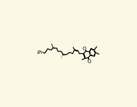 CC(=CCC1=C(C)C(=O)c2cc(C)c(C)cc2C1=O)CCC[C@H](C)CCC[C@H](C)CCCC(C)C